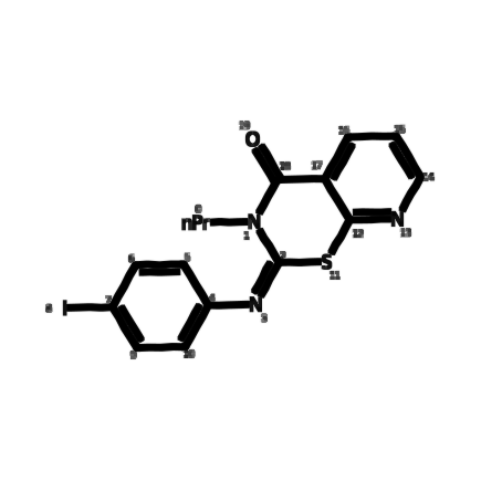 CCCn1c(=Nc2ccc(I)cc2)sc2ncccc2c1=O